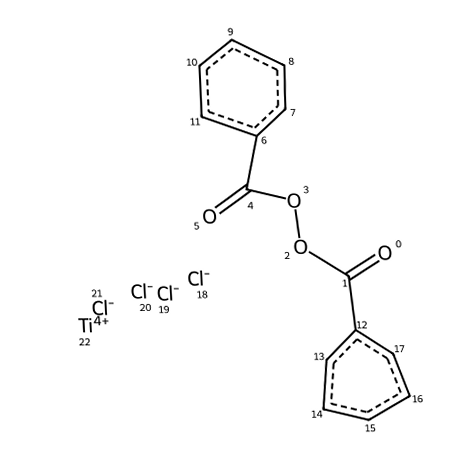 O=C(OOC(=O)c1ccccc1)c1ccccc1.[Cl-].[Cl-].[Cl-].[Cl-].[Ti+4]